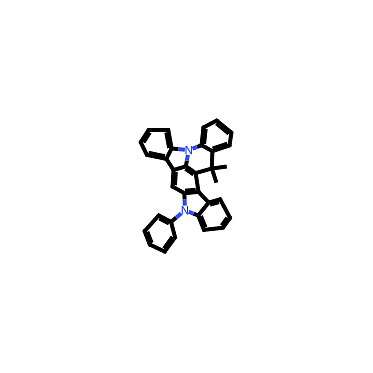 CC1(C)c2ccccc2-n2c3ccccc3c3cc4c(c1c32)c1ccccc1n4-c1ccccc1